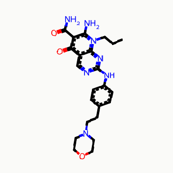 CCCn1c(N)c(C(N)=O)c(=O)c2cnc(Nc3ccc(CCN4CCOCC4)cc3)nc21